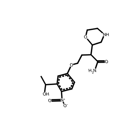 CC(O)c1cc(OCCC(C(N)=O)C2CNCCO2)ccc1[N+](=O)[O-]